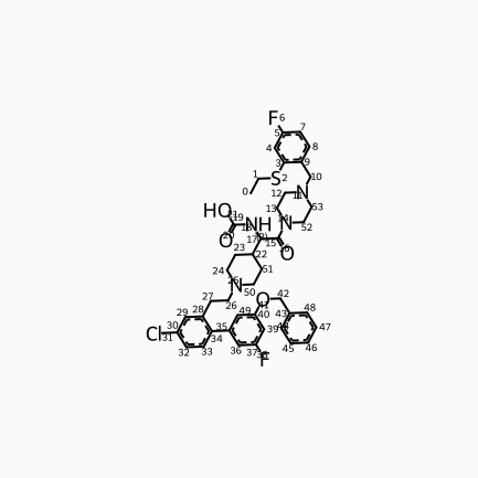 CCSc1cc(F)ccc1CN1CCN(C(=O)[C@H](NC(=O)O)C2CCN(CCc3cc(Cl)ccc3-c3cc(F)cc(OCc4ccccc4)c3)CC2)CC1